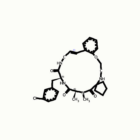 C[C@H]1C(=O)N[C@@H](Cc2cccc(Cl)c2)C(=O)NC/C=C/c2ccccc2OCCNC2(CCCC2)C(=O)N1C